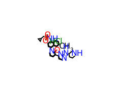 Cc1ccc2c(NS(=O)(=O)CC3CC3)cccc2c1Oc1ncccc1-c1ccnc(N[C@H]2CCCNC2)n1.Cl